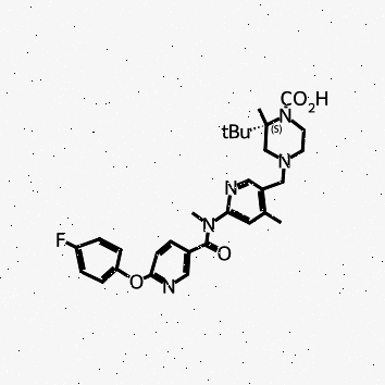 Cc1cc(N(C)C(=O)c2ccc(Oc3ccc(F)cc3)nc2)ncc1CN1CCN(C(=O)O)[C@@](C)(C(C)(C)C)C1